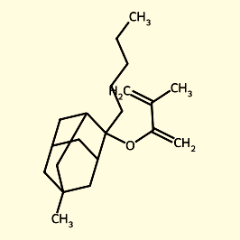 C=C(C)C(=C)OC1(CCCCC)C2CC3CC1CC(C)(C3)C2